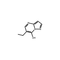 CCc1cnc2ccnn2c1O